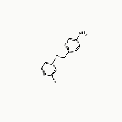 Cc1cccc(OCc2ccc(N)cc2)c1